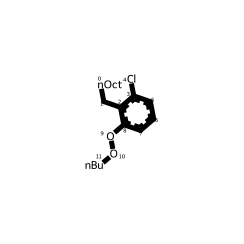 CCCCCCCCCc1c(Cl)cccc1OOCCCC